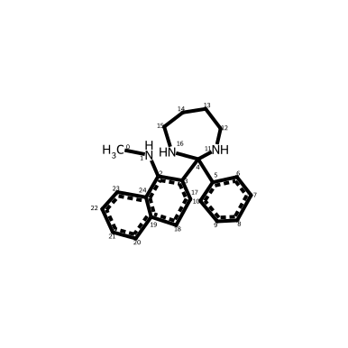 CNc1c(C2(c3ccccc3)NCCCCN2)ccc2ccccc12